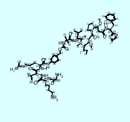 CC[C@H](C)[C@@H]([C@@H](CC(=O)N1CCC[C@H]1[C@H](OC)[C@@H](C)C(=O)N[C@@H](Cc1ccccc1)c1nccs1)OC)N(C)C(=O)[C@@H](NC(=O)C(C)(C)NC(=O)OCc1ccc(NC(=O)[C@H](CCCNC(N)=O)NC(=O)[C@@H](NC(=O)[C@H](CCCCN)NC(=O)[C@@H](C)N)C(C)C)cc1)C(C)C